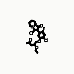 CCO/C(=C/C(C)=O)COc1cc(-c2c(Cl)n3n(c2=O)CCCC3)c(F)cc1Cl